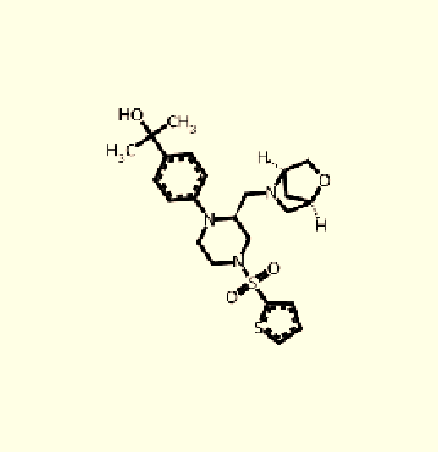 CC(C)(O)c1ccc(N2CCN(S(=O)(=O)c3cccs3)C[C@@H]2CN2C[C@H]3C[C@@H]2CO3)cc1